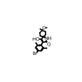 COC1(C)CCC2(CC1)NC(=O)C(c1c(C)cc(Br)cc1C)=C2O